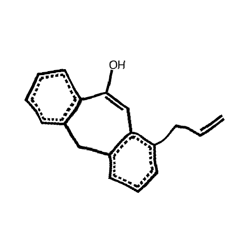 C=CCc1cccc2c1C=C(O)c1ccccc1C2